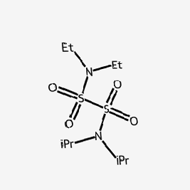 CCN(CC)S(=O)(=O)S(=O)(=O)N(C(C)C)C(C)C